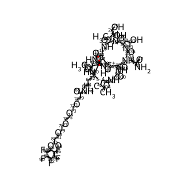 CC[C@H](C)[C@@H]1CCNC(=O)CNC(=O)[C@@H]2CNC(=O)[C@H]([C@@H](C)[C@@H](O)CO)NC(=O)C3C[C@@H](O)CN3C(=O)[C@H](CCC(N)=O)NC(=O)[C@@H](C[S+]([O-])C3Nc4c(ccc(OC)c4CSCCCCNC(=O)CCOCCOCCOCCOCCC(=O)Oc4c(F)c(F)c(F)c(F)c4F)C32)NC(=O)CNC1=O